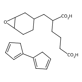 C1=CCC(C2=CC=CC2)=C1.O=C(O)CCCC(CC1CCC2OC2C1)C(=O)O